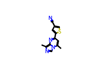 Cc1ncn2c(C)cc(-c3cc(C#N)cs3)nc12